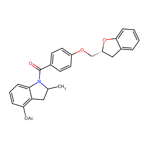 CC(=O)Oc1cccc2c1CC(C)N2C(=O)c1ccc(OC[C@H]2Cc3ccccc3O2)cc1